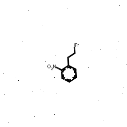 CC(C)CCc1cc[c]cc1[N+](=O)[O-]